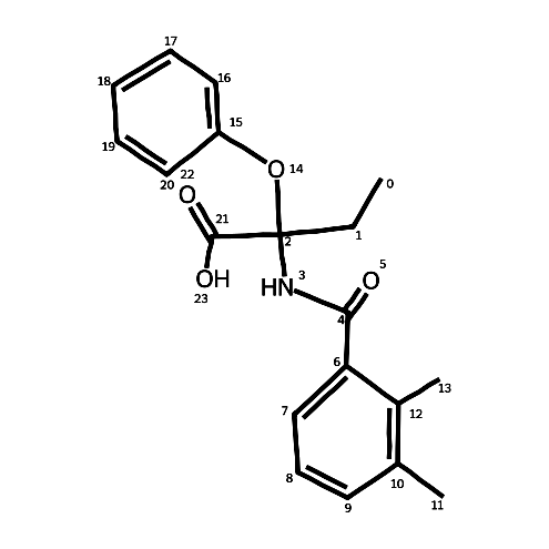 CCC(NC(=O)c1cccc(C)c1C)(Oc1ccccc1)C(=O)O